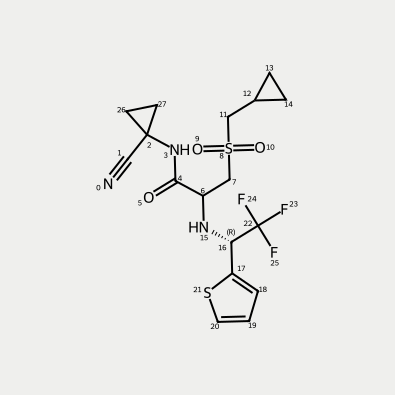 N#CC1(NC(=O)C(CS(=O)(=O)CC2CC2)N[C@@H](c2cccs2)C(F)(F)F)CC1